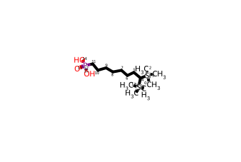 C[Si](C)(C)C(CCCCCCCP(=O)(O)O)[Si](C)(C)C